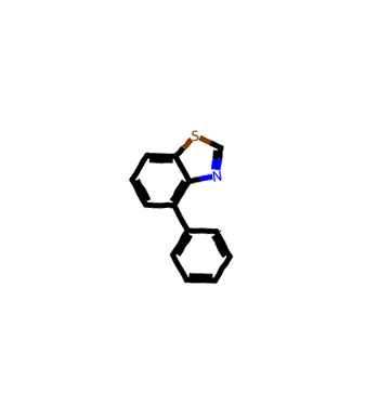 [c]1ccccc1-c1cccc2scnc12